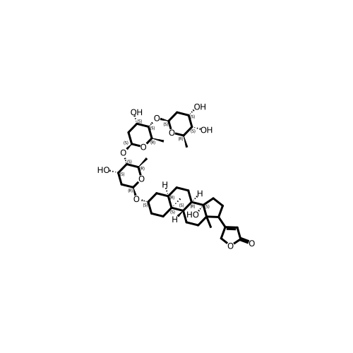 C[C@H]1O[C@@H](O[C@H]2[C@@H](O)C[C@H](O[C@H]3[C@@H](O)C[C@H](O[C@H]4CC[C@@]5(C)[C@H](CC[C@@H]6[C@@H]5CCC5(C)C(C7=CC(=O)OC7)CC[C@]65O)C4)O[C@@H]3C)O[C@@H]2C)C[C@H](O)[C@@H]1O